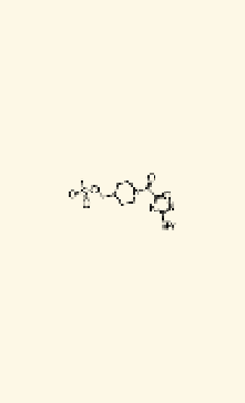 CC(C)c1noc(C(=O)N2CCC(COS(C)(=O)=O)CC2)n1